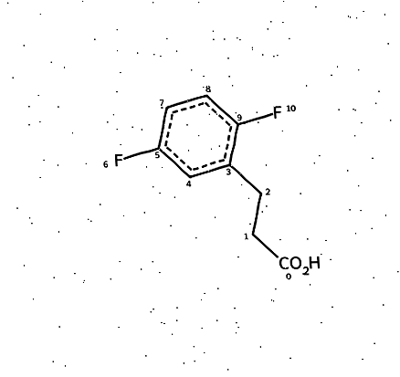 O=C(O)CCc1cc(F)[c]cc1F